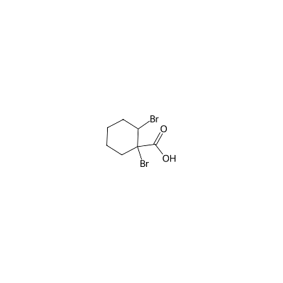 O=C(O)C1(Br)CCCCC1Br